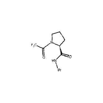 CC(C)NC(=O)[C@@H]1CCCN1C(=O)C(F)(F)F